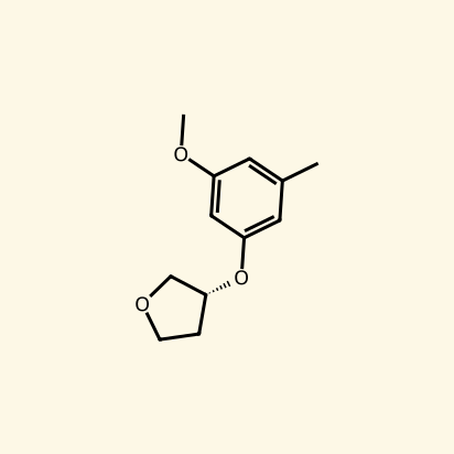 COc1cc(C)cc(O[C@@H]2CCOC2)c1